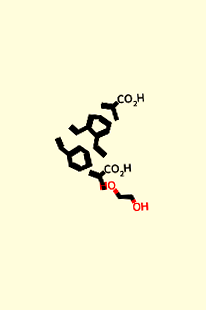 C=C(C)C(=O)O.C=C(C)C(=O)O.C=Cc1ccccc1.C=Cc1ccccc1C=C.OCCO